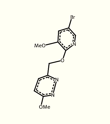 COc1ccc(COc2ncc(Br)cc2OC)nn1